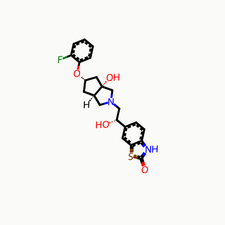 O=c1[nH]c2ccc([C@H](O)CN3C[C@H]4C[C@H](Oc5ccccc5F)C[C@@]4(O)C3)cc2s1